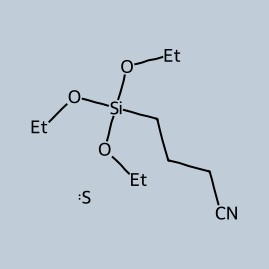 CCO[Si](CCCC#N)(OCC)OCC.[S]